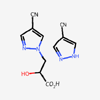 N#Cc1cn[nH]c1.N#Cc1cnn(CC(O)C(=O)O)c1